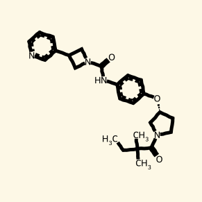 CCC(C)(C)C(=O)N1CC[C@@H](Oc2ccc(NC(=O)N3CC(c4cccnc4)C3)cc2)C1